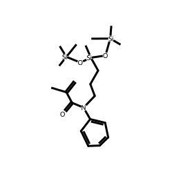 C=C(C)C(=O)N(CCC[Si](C)(O[Si](C)(C)C)O[Si](C)(C)C)c1ccccc1